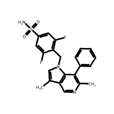 Cc1ncc2c(C)cn(Cc3c(F)cc(S(N)(=O)=O)cc3F)c2c1-c1ccccc1